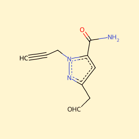 C#CCn1nc(CC=O)cc1C(N)=O